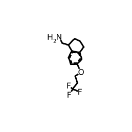 NCC1CCCc2cc(OCCC(F)(F)F)ccc21